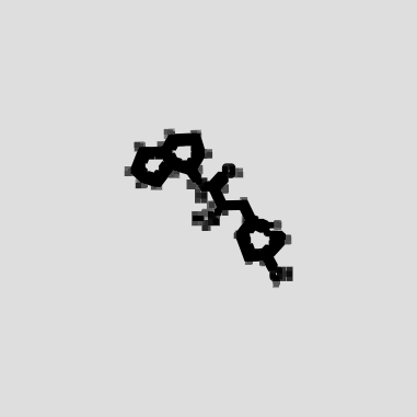 N[C@@H](Cc1ccc(O)cc1)C(=O)Nc1cccc2ccccc12